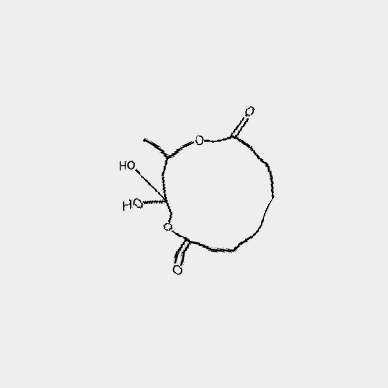 CC1OC(=O)CCCCC(=O)OC1(O)O